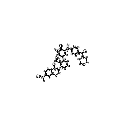 CCN(C)c1ccc2c(c1)CCN(c1cccc(-c3cc(Nc4ccc(C(=O)N5CCOCC5)cn4)c(=O)n(C)c3)c1CO)C2=O